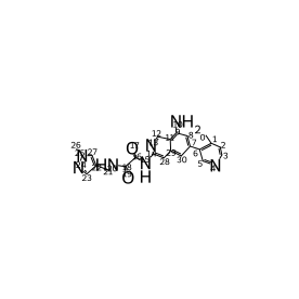 Cc1ccncc1-c1cc(N)c2cnc(NC(=O)C(=O)NCc3cnn(C)c3)cc2c1